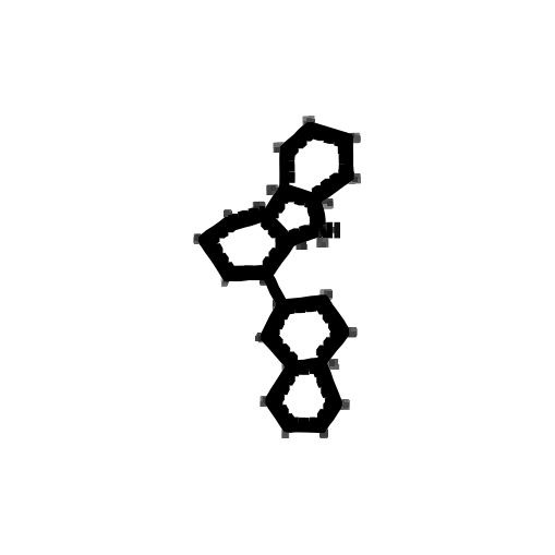 c1ccc2cc(-c3cccc4c3[nH]c3ccccc34)ccc2c1